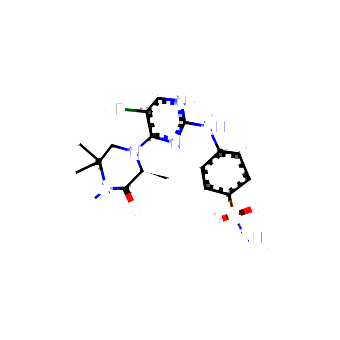 C[C@H]1C(=O)N(C)C(C)(C)CN1c1nc(Nc2ccc(S(N)(=O)=O)cc2)ncc1F